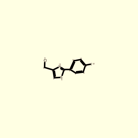 ClCc1csc(-c2ccc(I)cc2)n1